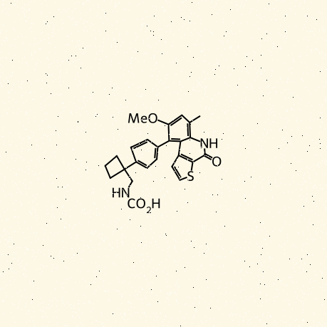 COc1cc(C)c2[nH]c(=O)c3sccc3c2c1-c1ccc(C2(CNC(=O)O)CCC2)cc1